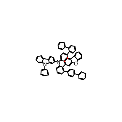 c1ccc(-c2ccc(-c3cccc(N(c4ccc(-c5ccccc5-c5ccccc5)cc4)c4ccc5c6ccccc6n(-c6ccccc6)c5c4)c3-c3ccc4c(c3)oc3ccccc34)cc2)cc1